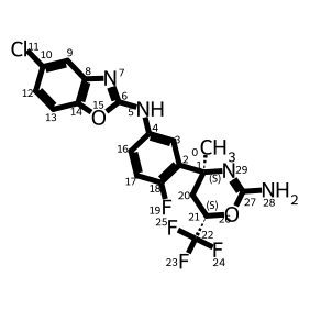 C[C@@]1(c2cc(Nc3nc4cc(Cl)ccc4o3)ccc2F)C[C@@H](C(F)(F)F)OC(N)=N1